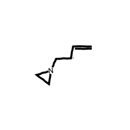 C=C[CH]CN1CC1